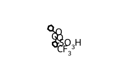 O=C(OC(=O)c1cccc(C(F)(F)F)c1S(=O)(=O)O)c1ccccc1